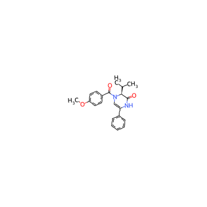 COc1ccc(C(=O)N2C=C(c3ccccc3)NC(=O)[C@@H]2C(C)C)cc1